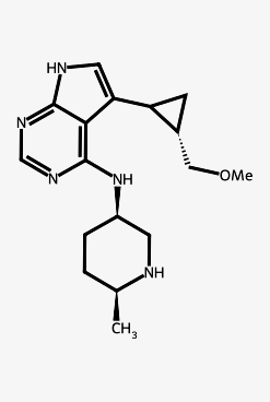 COC[C@H]1CC1c1c[nH]c2ncnc(N[C@@H]3CC[C@H](C)NC3)c12